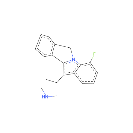 CCc1c2n(c3c(F)cccc13)Cc1ccccc1-2.CNC